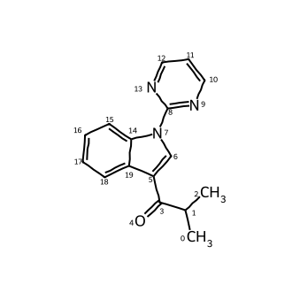 CC(C)C(=O)c1cn(-c2ncccn2)c2ccccc12